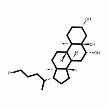 CC(C)CCCC(C)[C@H]1CC[C@H]2[C@@H]3C[C@@H](O)[C@@]4(O)C[C@@H](O)CC[C@]4(C)[C@H]3CC[C@]12C